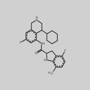 Cc1ccc(F)c2c1NC(C(=O)Nc1cc(F)cc3c1C(C1CCCCC1)CNC3)C2